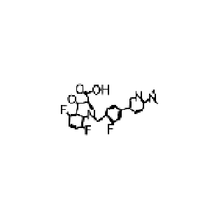 CN(C)c1ccc(-c2ccc(Cn3cc(C(=O)O)c(=O)c4c(F)ccc(F)c43)c(F)c2)cn1